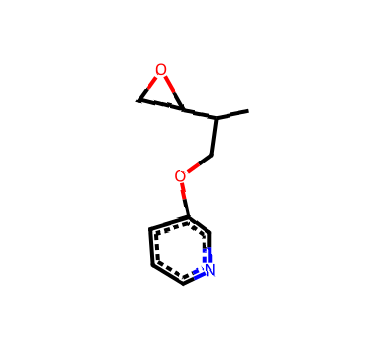 CC(COc1cccnc1)C1CO1